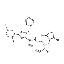 CCN(C(=O)O)[C@@H](CCN[C@@H](c1cc(-c2cc(F)ccc2F)cn1Cc1ccccc1)C(C)(C)C)CN1C(=O)CCC1=O